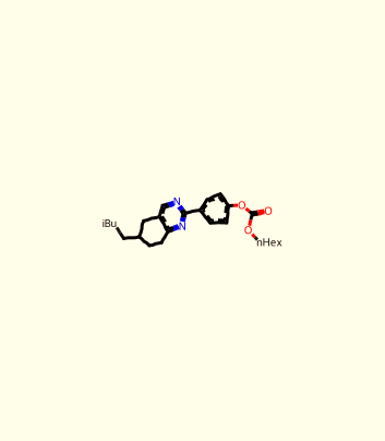 CCCCCCOC(=O)Oc1ccc(-c2ncc3c(n2)CCC(CC(C)CC)C3)cc1